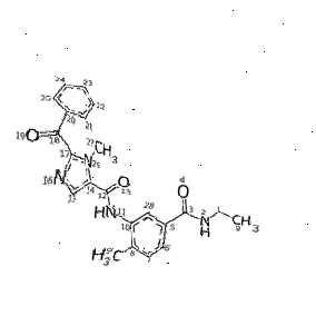 CCNC(=O)c1ccc(C)c(NC(=O)c2cnc(C(=O)c3ccccc3)n2C)c1